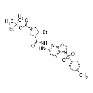 CCC1CN(C(=O)OC(C)(C)CC)CC1C(=O)NNc1cnc2c(ccn2S(=O)(=O)c2ccc(C)cc2)n1